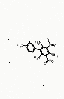 Cc1ccc(-c2c(N)c([N+](=O)[O-])c(N)c([N+](=O)[O-])c2N)cc1